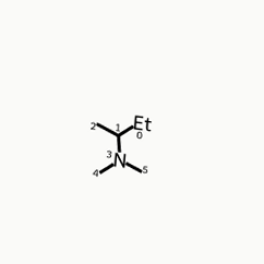 [CH2]CC(C)N(C)C